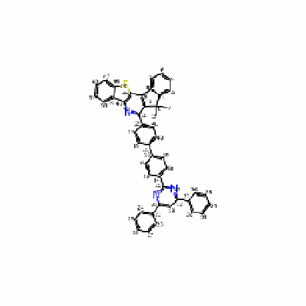 CC1(C)c2ccccc2-c2c1c(-c1ccc(-c3ccc(-c4nc(-c5ccccc5)cc(-c5ccccc5)n4)cc3)cc1)nc1c2sc2ccccc21